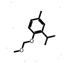 COCOc1ccc(C)cc1C(C)C